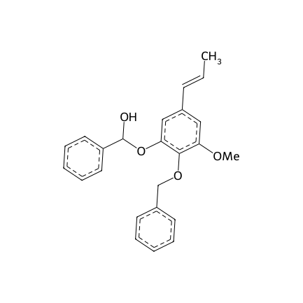 CC=Cc1cc(OC)c(OCc2ccccc2)c(OC(O)c2ccccc2)c1